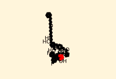 C[N+]1(Cc2cc(C(O)CNCCCCCCOCCCCc3ccccc3)ccc2OO)CCC(CNC(=O)[C@H]2CCCN2C(=O)[C@@H]2C[C@@H](O)CN2C(=O)CC(c2ccc(F)cc2)(c2ccc(F)cc2)c2ccc(F)cc2)CC1